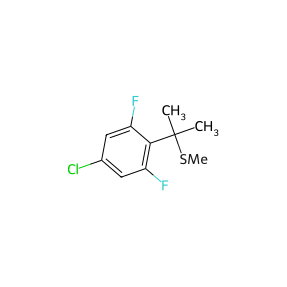 CSC(C)(C)c1c(F)cc(Cl)cc1F